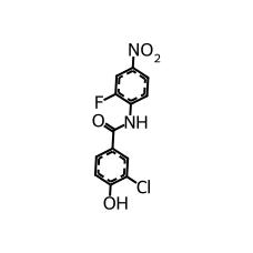 O=C(Nc1ccc([N+](=O)[O-])cc1F)c1ccc(O)c(Cl)c1